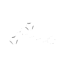 c1ccc(CC(Cc2ccccc2)SCCCCCCC2CCCCO2)cc1